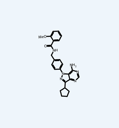 COc1ccccc1C(=O)NCc1ccc(-n2nc(C3CCCC3)c3ncnc(N)c32)cc1